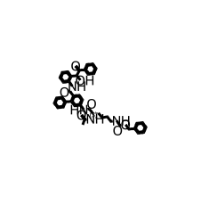 CC(=O)N[C@@H](CCCCNC(=O)OCc1ccccc1)C(=O)Nc1ccc(C(=O)Nc2ccccc2C(O)C(=O)c2ccccc2)c(-c2ccccc2)c1